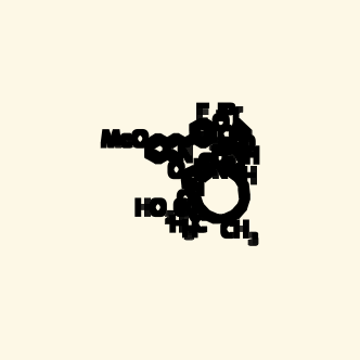 COc1ccc2c(O[C@@H]3C[C@H]4C(=O)N[C@]5(C(=O)NS(=O)(=O)C6(C)CC6)C[C@H]5C=CCC[C@H](C)C[C@@H](C)[C@H](NC(=O)O)C(=O)N4C3)nc(-c3ccc(OC(C)C)c(F)c3)cc2c1